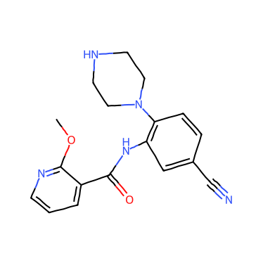 COc1ncccc1C(=O)Nc1cc(C#N)ccc1N1CCNCC1